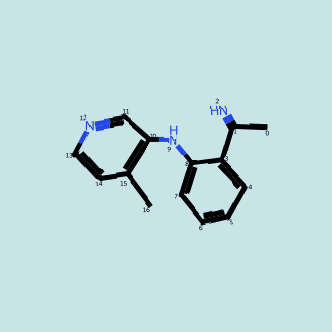 CC(=N)c1ccccc1Nc1cnccc1C